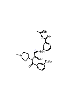 COc1cccc(C(=O)N(C(=N)/C=C\Nc2cccc(C(=N)OC(C)=N)c2)C2CCN(C)CC2)c1